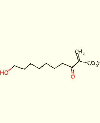 C=C(C(=O)O)C(=O)CCCCCCCO